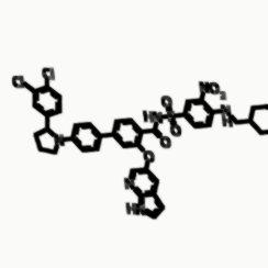 O=C(NS(=O)(=O)c1ccc(NCC2CCOCC2)c([N+](=O)[O-])c1)c1ccc(-c2ccc(N3CCCC3c3ccc(Cl)c(Cl)c3)cc2)cc1Oc1cnc2[nH]ccc2c1